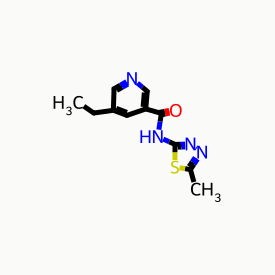 CCc1cncc(C(=O)Nc2nnc(C)s2)c1